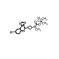 CN(C(=O)OC(C)(C)C)C1CN(c2nc3ccc(Br)cc3c3ncnn23)C1